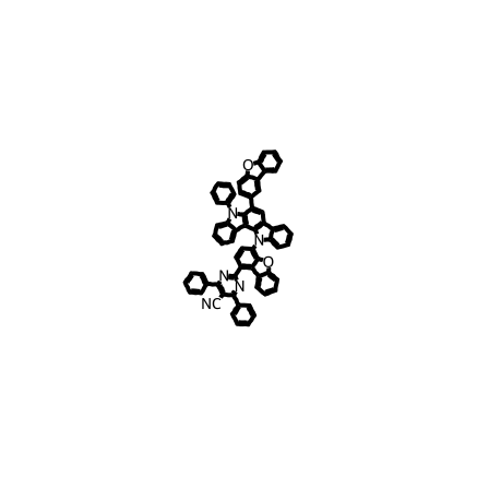 N#Cc1c(-c2ccccc2)nc(-c2ccc(-n3c4ccccc4c4cc(-c5ccc6oc7ccccc7c6c5)c5c(c6ccccc6n5-c5ccccc5)c43)c3oc4ccccc4c23)nc1-c1ccccc1